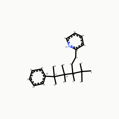 CC(C)(C)C(C)(CCc1ccccn1)C(C)(C)C(C)(C)c1ccccc1